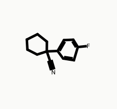 N#CC1(c2ccc(F)cc2)CCCCC1